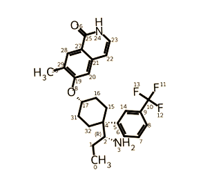 CC[C@@H](N)[C@]1(c2cccc(C(F)(F)F)c2)CC[C@@H](Oc2cc3cc[nH]c(=O)c3cc2C)CC1